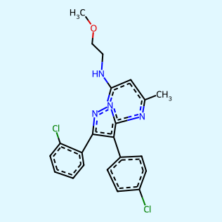 COCCNc1cc(C)nc2c(-c3ccc(Cl)cc3)c(-c3ccccc3Cl)nn12